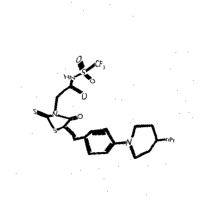 CCCC1CCN(c2ccc(C=C3SC(=S)N(CC(=O)NS(=O)(=O)C(F)(F)F)C3=O)cc2)CC1